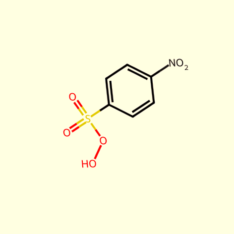 O=[N+]([O-])c1ccc(S(=O)(=O)OO)cc1